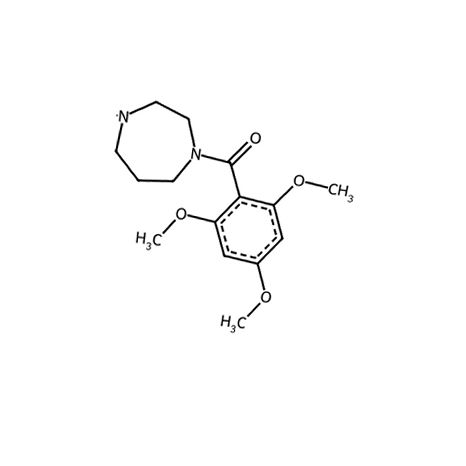 COc1cc(OC)c(C(=O)N2CCC[N]CC2)c(OC)c1